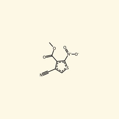 COC(=O)c1c(C#N)csc1[N+](=O)[O-]